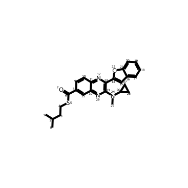 CC(C)CCSC(=O)c1ccc2nc(-c3cc4ccccc4o3)c(N(C)C3CC3)nc2c1